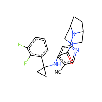 N#Cc1ccc(N2C3CCC2CN(C(=O)CNC2(c4cccc(F)c4F)CC2)C3)nc1